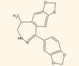 CC1CNN=C(c2ccc3c(c2)OCO3)c2cc3c(cc21)OCO3